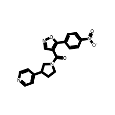 O=C(c1cnoc1-c1ccc([N+](=O)[O-])cc1)N1CCC(c2ccncc2)C1